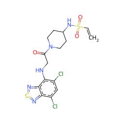 C=CS(=O)(=O)NC1CCN(C(=O)CNc2c(Cl)cc(Cl)c3nsnc23)CC1